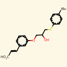 CC(C)(C)c1ccc(SCC(O)COc2cccc(C=CC(=O)O)c2)cc1